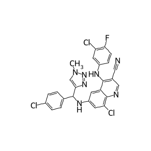 Cn1cc(C(Nc2cc(Cl)c3ncc(C#N)c(Nc4ccc(F)c(Cl)c4)c3c2)c2ccc(Cl)cc2)nn1